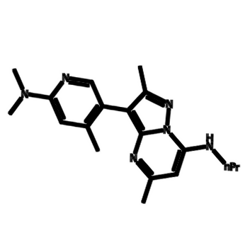 CCCNc1cc(C)nc2c(-c3cnc(N(C)C)cc3C)c(C)nn12